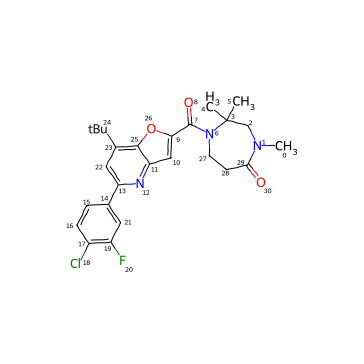 CN1CC(C)(C)N(C(=O)c2cc3nc(-c4ccc(Cl)c(F)c4)cc(C(C)(C)C)c3o2)CCC1=O